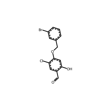 O=Cc1cc(Cl)c(OCc2cccc(Br)c2)cc1O